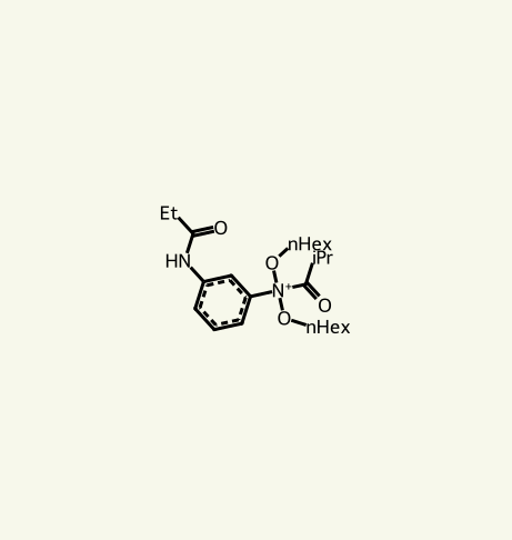 CCCCCCO[N+](OCCCCCC)(C(=O)C(C)C)c1cccc(NC(=O)CC)c1